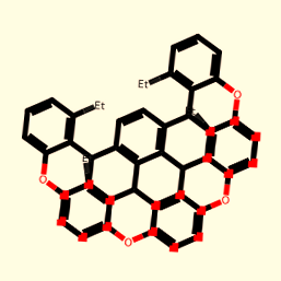 CCc1cccc2c1C(c1ccc(C3c4ccccc4Oc4cccc(CC)c43)c(C3c4ccccc4Oc4cccc(CC)c43)c1C1c3ccccc3Oc3cccc(CC)c31)c1ccccc1O2